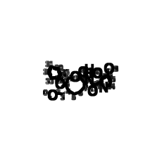 COCC[C@H]1CCC[C@H](NC(=O)c2nccc(OC)c2O)C(=O)O[C@@H](C)[C@@H]1Oc1ccccc1